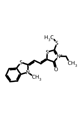 CC[N+]1=C(SC)SC(=CC=C2Sc3ccccc3N2C)C1=O